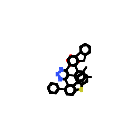 Cc1ccc(-c2c(-c3ccccc3)nnnc2-c2c(-c3ccccc3)ccc3sc4ccccc4c23)c(-c2cccc3c2Cc2ccccc2-3)c1C